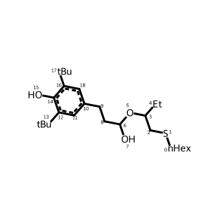 CCCCCCSCC(CC)OC(O)CCc1cc(C(C)(C)C)c(O)c(C(C)(C)C)c1